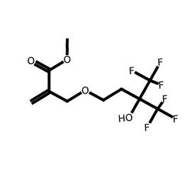 C=C(COCCC(O)(C(F)(F)F)C(F)(F)F)C(=O)OC